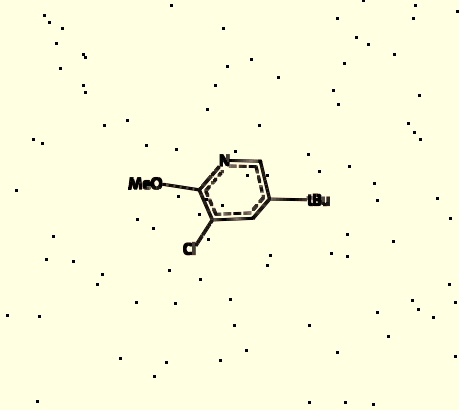 COc1ncc(C(C)(C)C)cc1Cl